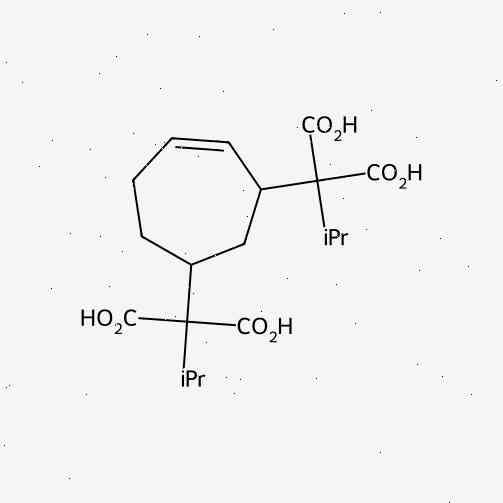 CC(C)C(C(=O)O)(C(=O)O)C1C=CCCC(C(C(=O)O)(C(=O)O)C(C)C)C1